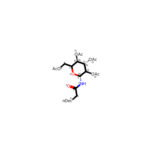 CCCCCCCCCCCC(=O)N[C@@H]1OC(COC(C)=O)[C@@H](OC(C)=O)[C@H](OC(C)=O)C1OC(C)=O